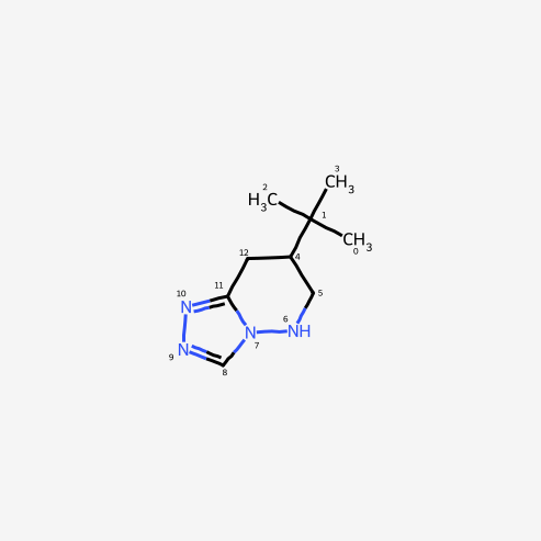 CC(C)(C)C1CNn2cnnc2C1